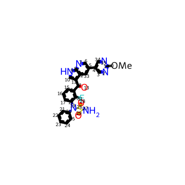 COc1ncc(-c2cnc3[nH]cc(C(=O)c4cccc(N(c5ccccc5)S(N)(=O)=O)c4F)c3c2)cn1